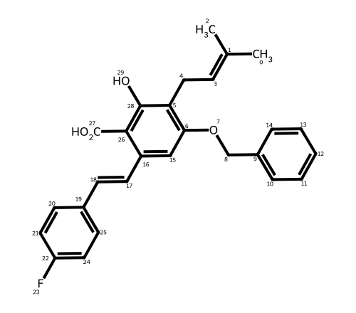 CC(C)=CCc1c(OCc2ccccc2)cc(C=Cc2ccc(F)cc2)c(C(=O)O)c1O